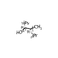 CC(C)[C@@H](C)[C@H](O)C(C)C